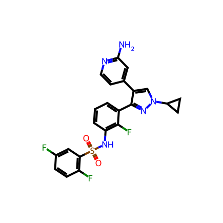 Nc1cc(-c2cn(C3CC3)nc2-c2cccc(NS(=O)(=O)c3cc(F)ccc3F)c2F)ccn1